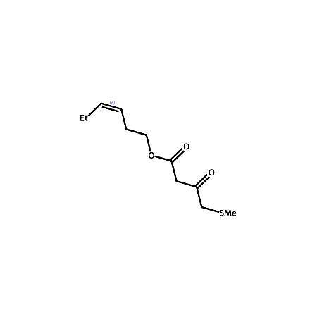 CC/C=C\CCOC(=O)CC(=O)CSC